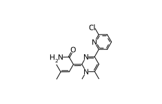 CC(C)=C/C(C(N)=O)=C1/N=C(c2cccc(Cl)n2)C=C(C)N1C